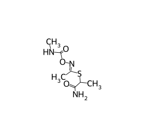 CNC(=O)O/N=C(\C)SC(C)C(N)=O